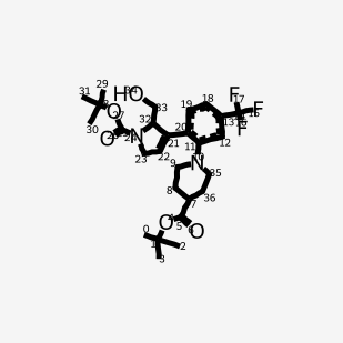 CC(C)(C)OC(=O)C1CCN(c2cc(C(F)(F)F)ccc2C2=CCN(C(=O)OC(C)(C)C)C2CO)CC1